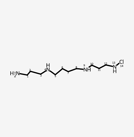 NCCCNCCCCNCCCNCl